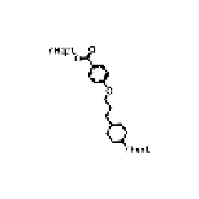 CCCCCCCOC(=O)c1ccc(OCCCC2CCC(CCCCC)CC2)cc1